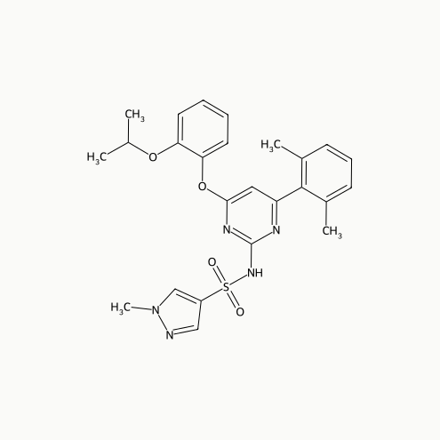 Cc1cccc(C)c1-c1cc(Oc2ccccc2OC(C)C)nc(NS(=O)(=O)c2cnn(C)c2)n1